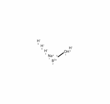 CO.[B+3].[H-].[H-].[H-].[H-].[Na+]